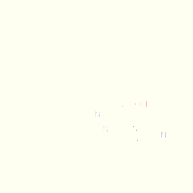 Cc1nn([C@H](C)[C@](O)(Cn2cncn2)c2ccc(F)cc2F)c2c(C)cc(Cl)cc12